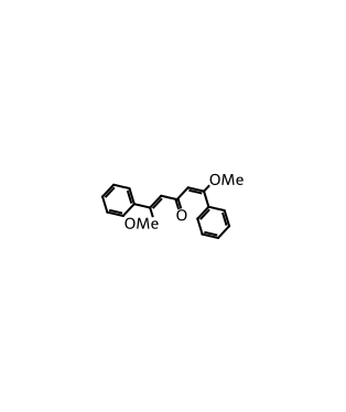 COC(=CC(=O)C=C(OC)c1ccccc1)c1ccccc1